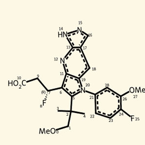 COCC(C)(C)c1c([C@H](F)CC(=O)O)c2nc3[nH]ncc3cc2n1-c1ccc(F)c(OC)c1